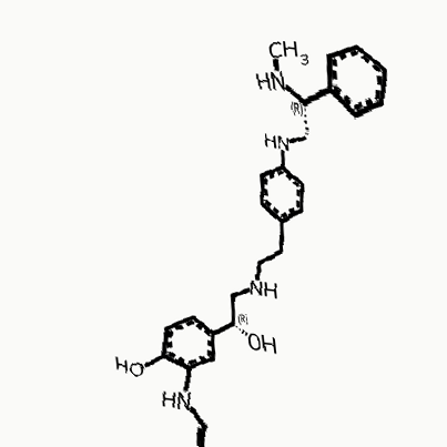 CN[C@@H](CNc1ccc(CCNC[C@H](O)c2ccc(O)c(NC=O)c2)cc1)c1ccccc1